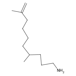 C=C(C)CCCCC(C)CCCN